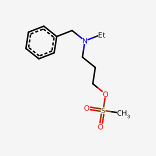 CCN(CCCOS(C)(=O)=O)Cc1ccccc1